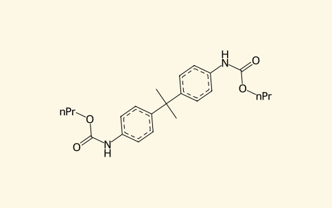 CCCOC(=O)Nc1ccc(C(C)(C)c2ccc(NC(=O)OCCC)cc2)cc1